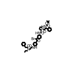 CCCN(CC(=O)Nc1ccc(-c2oc3ccc(NC(=O)[C@@H]4CCCN4C(=O)[C@H](NC(=O)OC(C)(C)C)c4ccccc4)cc3c2Br)cc1)C(=O)Cc1ccccc1